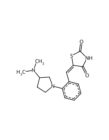 CN(C)C1CCN(c2ccccc2C=C2SC(=O)NC2=O)C1